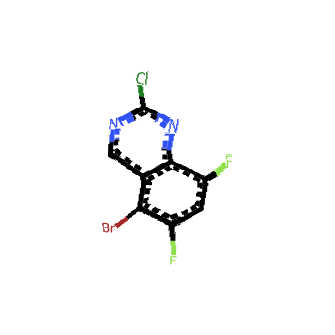 Fc1cc(F)c2nc(Cl)ncc2c1Br